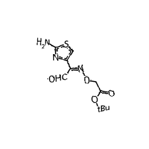 CC(C)(C)OC(=O)CON=C([C]=O)c1csc(N)n1